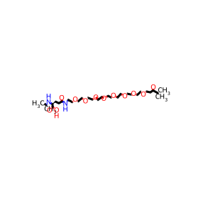 CC(C)N[C@@H](CCC(=O)NCCOCCOCCOCCOCCOCCOCCOCCOCCC(=O)C(C)C)C(=O)O